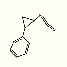 O=C=NC1CC1c1ccccc1